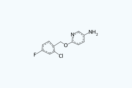 Nc1ccc(OCc2ccc(F)cc2Cl)nc1